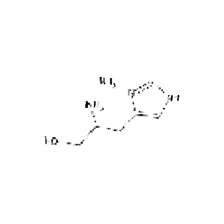 N.NC(CO)Cc1c[nH]cn1